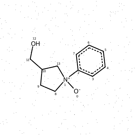 [O-][N+]1(c2ccccc2)CCC(CO)C1